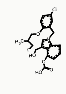 CC(CF)COc1ccc(Cl)cc1Cn1cc(CO)c2c(OC(=O)O)cccc21